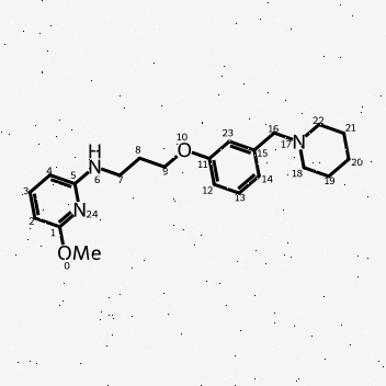 COc1cccc(NCCCOc2cccc(CN3CCCCC3)c2)n1